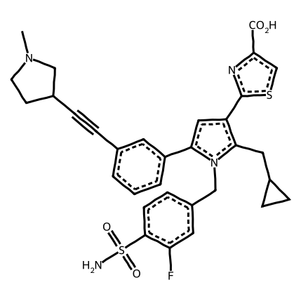 CN1CCC(C#Cc2cccc(-c3cc(-c4nc(C(=O)O)cs4)c(CC4CC4)n3Cc3ccc(S(N)(=O)=O)c(F)c3)c2)C1